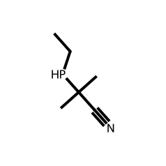 CCPC(C)(C)C#N